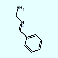 BC/N=C/c1ccccc1